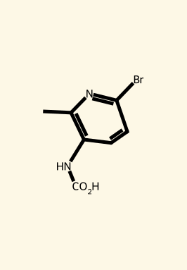 Cc1nc(Br)ccc1NC(=O)O